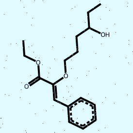 CCOC(=O)C(=Cc1ccccc1)OCCCC(O)CC